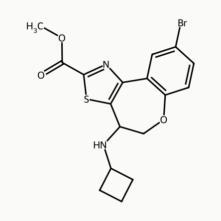 COC(=O)c1nc2c(s1)C(NC1CCC1)COc1ccc(Br)cc1-2